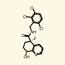 O=C(NCc1c(Cl)ccc(Cl)c1Cl)[C@]1(F)CC[C@H](O)c2ncccc21